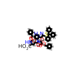 N[C@@H](CSC(c1ccccc1)(c1ccccc1)c1ccccc1)C(=O)c1ccccc1N(CC(=O)OCc1ccccc1)C(=O)CC[C@H](NC(=O)OCc1ccccc1)C(=O)O